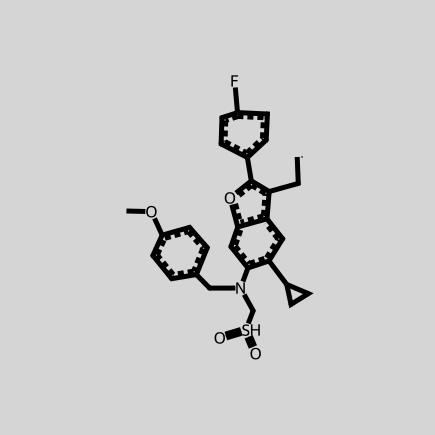 [CH2]Cc1c(-c2ccc(F)cc2)oc2cc(N(Cc3ccc(OC)cc3)C[SH](=O)=O)c(C3CC3)cc12